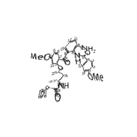 COc1ccc(C(=O)Nc2c(N)cccc2C(=O)c2ccc(OC)cc2OCCCNC(=O)OC(C)(C)C)cc1